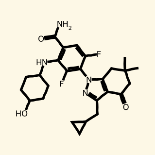 CC1(C)CC(=O)c2c(CC3CC3)nn(-c3c(F)cc(C(N)=O)c(NC4CCC(O)CC4)c3F)c2C1